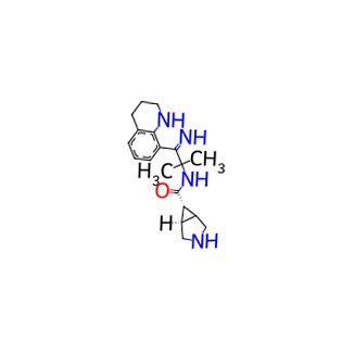 CC(C)(NC(=O)[C@@H]1C2CNC[C@H]21)C(=N)c1cccc2c1NCCC2